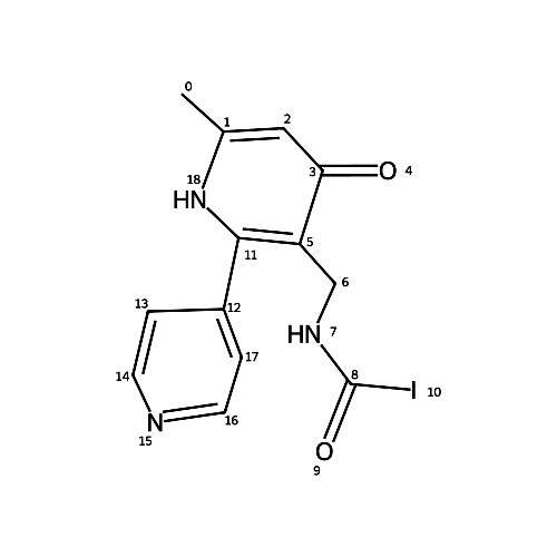 Cc1cc(=O)c(CNC(=O)I)c(-c2ccncc2)[nH]1